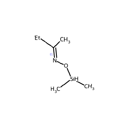 CC/C(C)=N/O[SiH](C)C